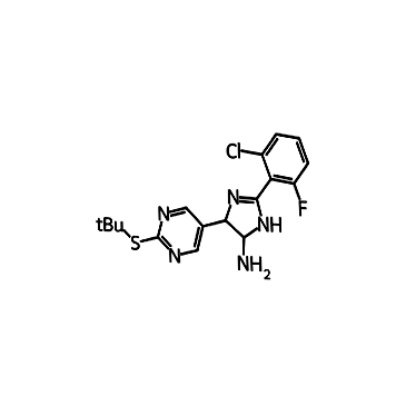 CC(C)(C)Sc1ncc(C2N=C(c3c(F)cccc3Cl)NC2N)cn1